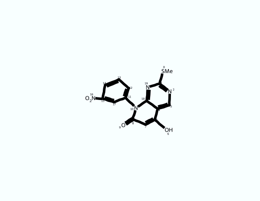 CSc1ncc2c(O)cc(=O)n(-c3cccc([N+](=O)[O-])c3)c2n1